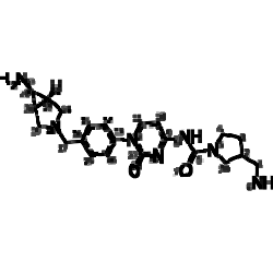 NCC1CCN(C(=O)Nc2ccn(-c3ccc(CN4CC5[C@@H](N)[C@@H]5C4)cc3)c(=O)n2)C1